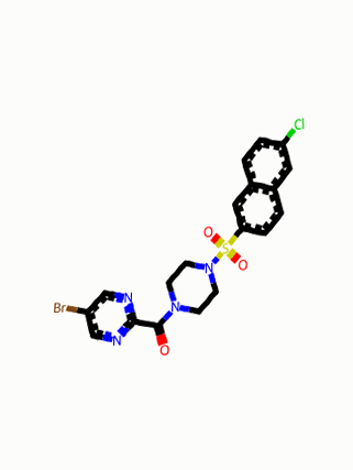 O=C(c1ncc(Br)cn1)N1CCN(S(=O)(=O)c2ccc3cc(Cl)ccc3c2)CC1